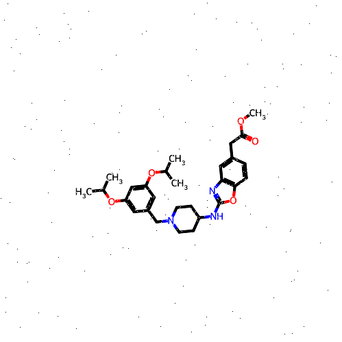 COC(=O)Cc1ccc2oc(NC3CCN(Cc4cc(OC(C)C)cc(OC(C)C)c4)CC3)nc2c1